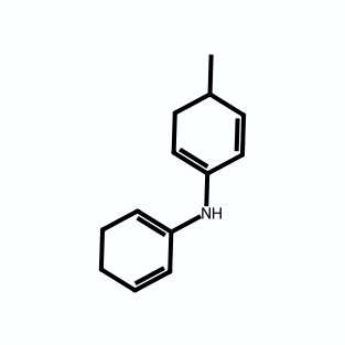 CC1C=CC(NC2=CCCC=C2)=CC1